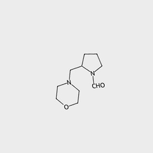 O=CN1CCCC1CN1CCOCC1